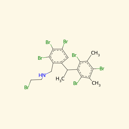 Cc1c(Br)c(C)c(Br)c(C(C)c2cc(Br)c(Br)c(Br)c2CNCCBr)c1Br